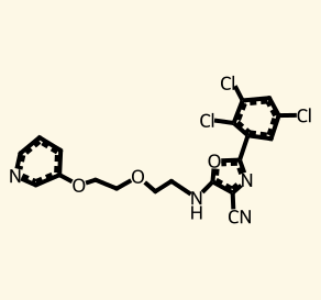 N#Cc1nc(-c2cc(Cl)cc(Cl)c2Cl)oc1NCCOCCOc1cccnc1